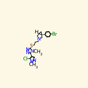 Cn1ncc(-c2nnc(SCCCN3C[C@@H]4C[C@]4(c4ccc(Br)cc4)C3)n2C)c1Cl